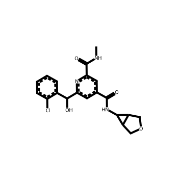 CNC(=O)c1cc(C(=O)NC2C3COCC32)cc(C(O)c2ccccc2Cl)n1